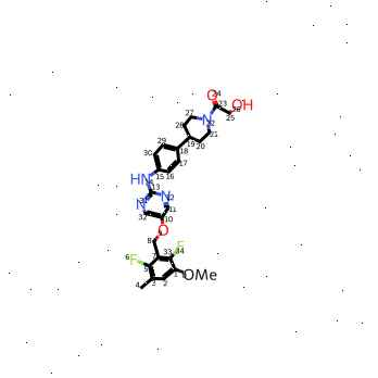 COc1cc(C)c(F)c(COc2cnc(Nc3ccc(C4CCN(C(=O)CO)CC4)cc3)nc2)c1F